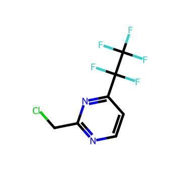 FC(F)(F)C(F)(F)c1ccnc(CCl)n1